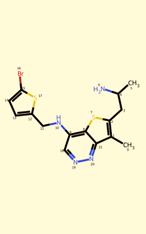 Cc1c(CC(C)N)sc2c(NCc3ccc(Br)s3)cnnc12